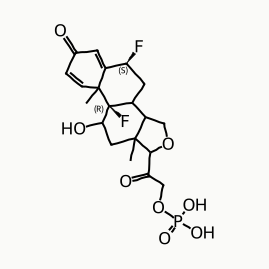 CC12CC(O)[C@@]3(F)C(C[C@H](F)C4=CC(=O)C=CC43C)C1COC2C(=O)COP(=O)(O)O